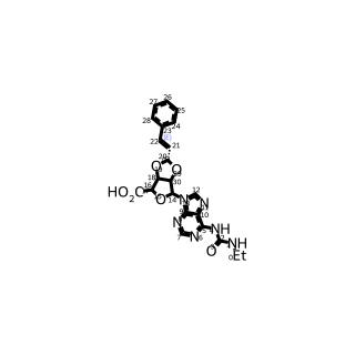 CCNC(=O)Nc1ncnc2c1ncn2C1OC(C(=O)O)C2O[C@H](/C=C/c3ccccc3)OC21